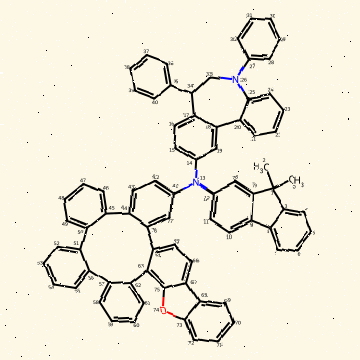 CC1(C)c2ccccc2-c2ccc(N(c3ccc4c(c3)-c3ccccc3N(c3ccccc3)CC4c3ccccc3)c3ccc4c5ccccc5c5ccccc5c5ccccc5c5c(ccc6c7ccccc7oc65)c4c3)cc21